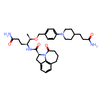 C[C@@H](OCc1ccc(N2CCC(CCC(N)=O)CC2)cc1)[C@H](CCC(N)=O)NC(=O)[C@@H]1Cc2cccc3c2N1C(=O)CCC3